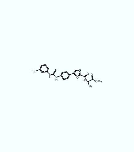 COC(=O)C(NC(=O)c1ncc(-c2ccc(NC(=O)Nc3cccc(C(F)(F)F)c3)cc2)o1)C(C)C